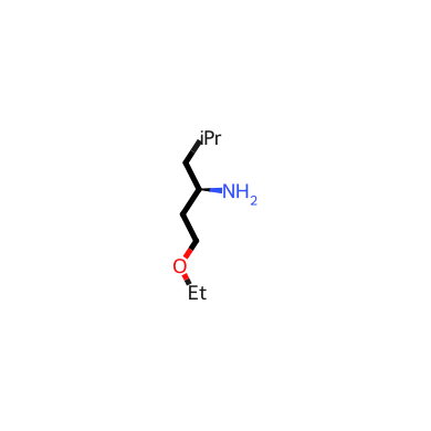 CCOCC[C@H](N)CC(C)C